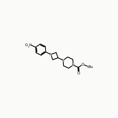 CC(C)(C)OC(=O)N1CCN(C2CN(c3ccc([N+](=O)[O-])cc3)C2)CC1